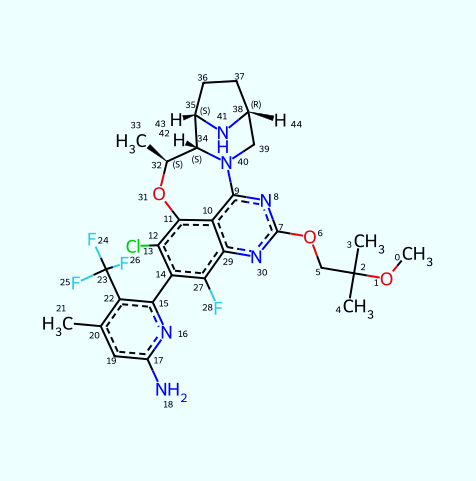 COC(C)(C)COc1nc2c3c(c(Cl)c(-c4nc(N)cc(C)c4C(F)(F)F)c(F)c3n1)O[C@@H](C)[C@@H]1[C@@H]3CC[C@H](CN21)N3